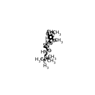 COc1cc(OC)c(C(=O)Nc2nc(C(=O)NCCN(C(C)C)C(C)C)cs2)cc1OC